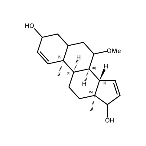 COC1CC2CC(O)C=C[C@]2(C)[C@@H]2CC[C@]3(C)C(O)C=C[C@H]3[C@H]12